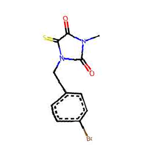 CN1C(=O)C(=S)N(Cc2ccc(Br)cc2)C1=O